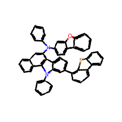 c1ccc(N(c2ccc3c(c2)oc2ccccc23)c2cc3ccccc3c3c2c2ccc(-c4cccc5c4sc4ccccc45)cc2n3-c2ccccc2)cc1